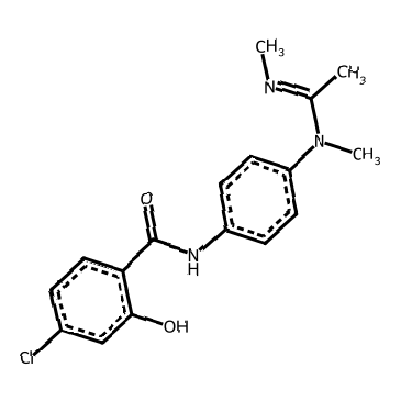 CN=C(C)N(C)c1ccc(NC(=O)c2ccc(Cl)cc2O)cc1